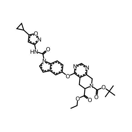 CCOC(=O)C1Cc2c(ncnc2Oc2ccc3c(ccn3C(=O)Nc3cc(C4CC4)on3)c2)CN1C(=O)OC(C)(C)C